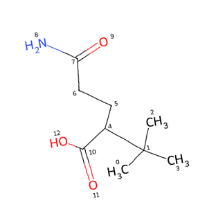 CC(C)(C)C(CCC(N)=O)C(=O)O